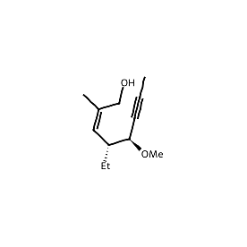 CC#C[C@@H](OC)[C@@H](/C=C(/C)CO)CC